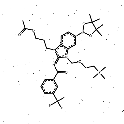 CC(=O)OCCCn1/c(=N/C(=O)c2cccc(C(F)(F)F)c2)n(COCCS(C)(C)C)c2cc(B3OC(C)(C)C(C)(C)O3)ccc21